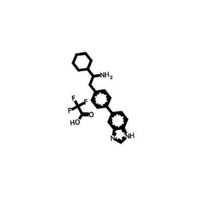 NC(Cc1ccc(-c2ccc3[nH]cnc3c2)cc1)C1CCCCC1.O=C(O)C(F)(F)F